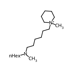 CCCCCCN(C)CCCCCC[N+]1(C)CCCCC1